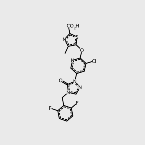 Cc1nc(C(=O)O)sc1Oc1ncc(-n2ncn(Cc3c(F)cccc3F)c2=O)cc1Cl